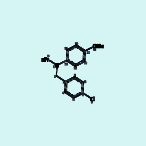 CCCN(Cc1ccc(Cl)cc1)c1ccc(OC)cc1